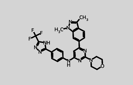 Cc1nn(C)c2cc(-c3cc(Nc4ccc(-c5nnc(C(F)(F)F)[nH]5)cc4)nc(N4CCOCC4)n3)ccc12